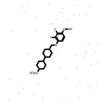 CCCCCC1CCC(C2CCC(COc3ccc(OCCC)c(F)c3F)CC2)CC1